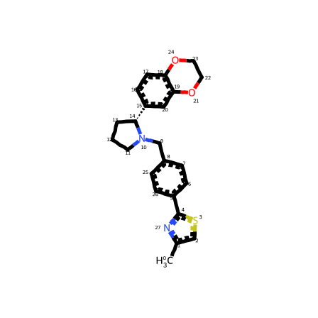 Cc1csc(-c2ccc(CN3CCC[C@@H]3c3ccc4c(c3)OCCO4)cc2)n1